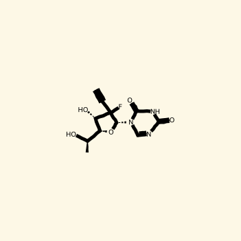 C#CC1(F)[C@@H](O)[C@@H]([C@@H](C)O)O[C@H]1n1cnc(=O)[nH]c1=O